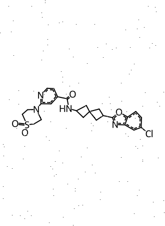 O=C(NC1CC2(C1)CC(c1nc3cc(Cl)ccc3o1)C2)c1ccnc(N2CCS(=O)(=O)CC2)c1